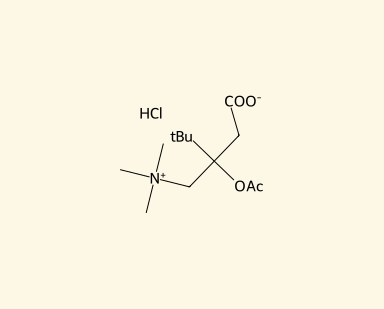 CC(=O)OC(CC(=O)[O-])(C[N+](C)(C)C)C(C)(C)C.Cl